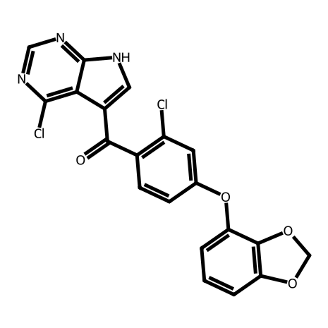 O=C(c1ccc(Oc2cccc3c2OCO3)cc1Cl)c1c[nH]c2ncnc(Cl)c12